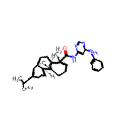 CC(C)C1=CC2=CC[C@@H]3[C@](C)(CCC[C@@]3(C)C(=O)Nc3cc(Nc4ccccc4)ncn3)[C@H]2CC1